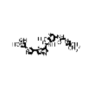 Cc1ncc(NC(=O)CN2CC(C)(C)C2)cc1NC(=O)c1cnn2cc(-c3cnn(C4CS(O)(O)C4)c3)sc12